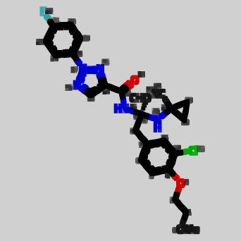 COCCOc1ccc(C[C@@](C=O)(NC(=O)c2cnn(-c3ccc(F)cc3)n2)NC2(C#N)CC2)cc1Cl